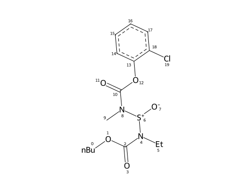 CCCCOC(=O)N(CC)[S+]([O-])N(C)C(=O)Oc1ccccc1Cl